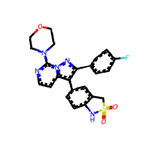 O=S1(=O)Cc2cc(-c3c(-c4ccc(F)cc4)nn4c(N5CCOCC5)nccc34)ccc2N1